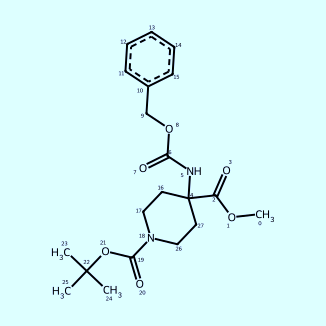 COC(=O)C1(NC(=O)OCc2ccccc2)CCN(C(=O)OC(C)(C)C)CC1